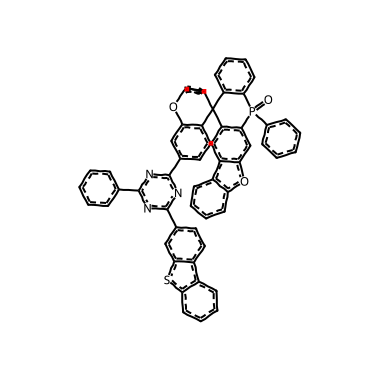 O=P1(c2ccccc2)c2ccccc2C2(c3ccccc3Oc3cc(-c4nc(-c5ccccc5)nc(-c5ccc6c(c5)sc5ccccc56)n4)ccc32)c2cc3c(cc21)oc1ccccc13